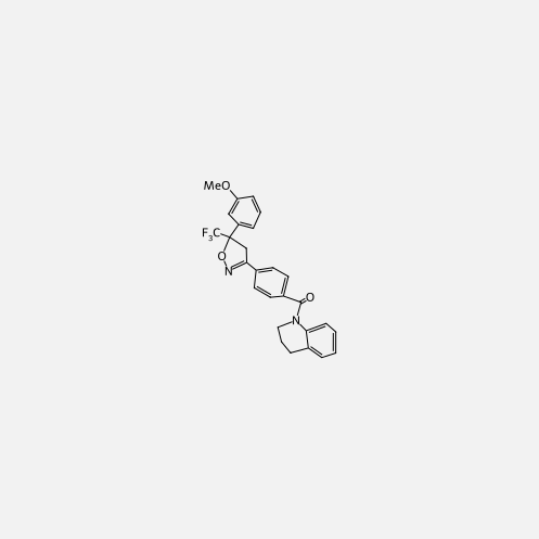 COc1cccc(C2(C(F)(F)F)CC(c3ccc(C(=O)N4CCCc5ccccc54)cc3)=NO2)c1